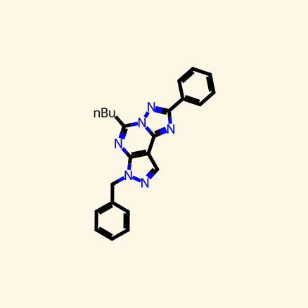 CCCCc1nc2c(cnn2Cc2ccccc2)c2nc(-c3ccccc3)nn12